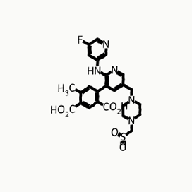 Cc1cc(-c2cc(CN3CCN(C[SH](=O)=O)CC3)cnc2Nc2cncc(F)c2)c(C(=O)O)cc1C(=O)O